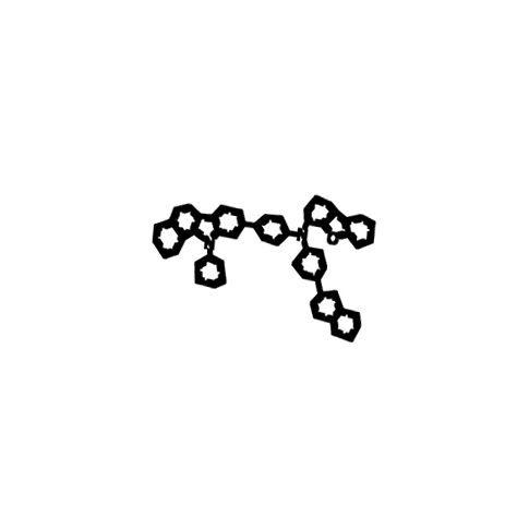 c1ccc(-n2c3cc(-c4ccc(N(c5ccc(-c6ccc7ccccc7c6)cc5)c5cccc6c5oc5ccccc56)cc4)ccc3c3ccc4ccccc4c32)cc1